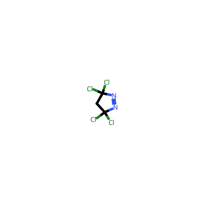 ClC1(Cl)CC(Cl)(Cl)N=N1